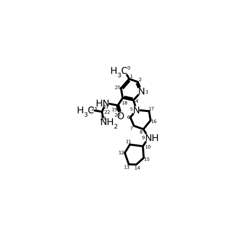 Cc1cnc(N2CCC(NC3CCCCC3)CC2)c(C(=O)NC(C)N)c1